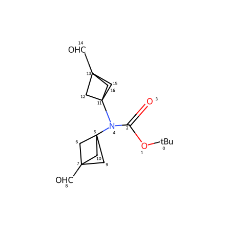 CC(C)(C)OC(=O)N(C12CC(C=O)(C1)C2)C12CC(C=O)(C1)C2